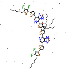 CCCCCCc1sc(-c2ccc(-c3cnc(-c4cc5c(s4)-c4sc(-c6ncc(-c7ccc(-c8sc(CCCCCC)c(F)c8F)s7)c7nsnc67)cc4[Si]5(CC(CC)CCCC)CC(CC)CCCC)c4nsnc34)s2)c(F)c1F